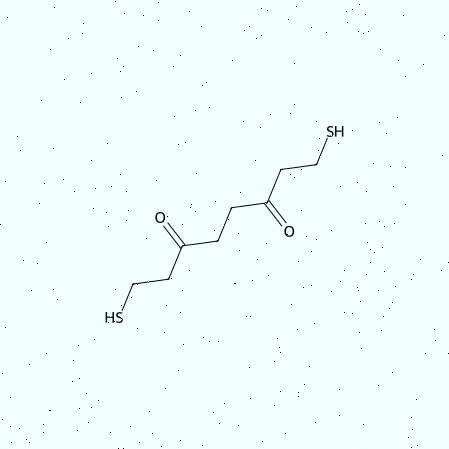 O=C(CCS)CCC(=O)CCS